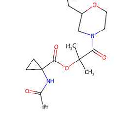 CC(C)C(=O)NC1(C(=O)OC(C)(C)C(=O)N2CCOC(CC(=O)O)C2)CC1